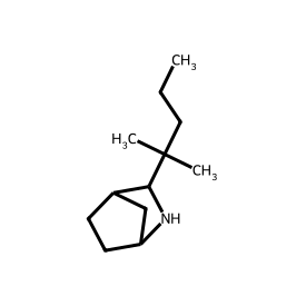 CCCC(C)(C)C1NC2CCC1C2